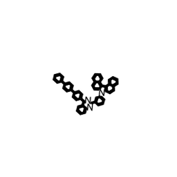 c1ccc(-c2ccc(-c3ccc(-c4nc(-c5cccc(-n6c7ccc8ccccc8c7c7c8ccccc8ccc76)c5)nc5ccccc45)cc3)cc2)cc1